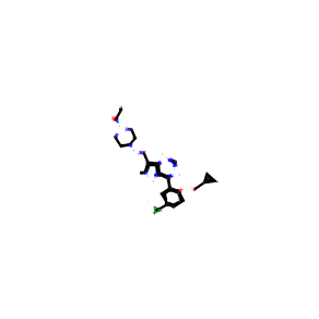 CCC(=O)N1CCC(NC(=O)c2c(C)[nH]c3c(-c4cc(C(F)(F)F)ccc4OCC4CC4)ncnc23)CC1